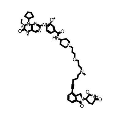 CC[C@@H]1C(=O)N(C)c2cnc(Nc3ccc(C(=O)NC4CCN(CCCOCCCN(C)CCCC#Cc5cccc6c5CN(C5CCC(=O)NC5=O)C6=O)CC4)cc3OC)nc2N1C1CCCC1